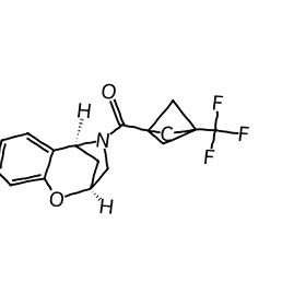 O=C(N1C[C@@H]2C[C@H]1c1ccccc1O2)C12CC(C(F)(F)F)(C1)C2